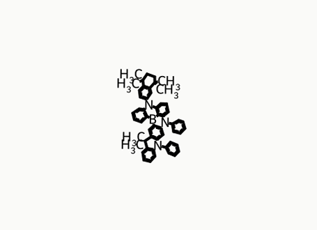 CC1(C)CCC(C)(C)c2cc(N3c4ccccc4B4c5cc6c(cc5N(c5ccccc5)c5cccc3c54)N(c3ccccc3)c3ccccc3C6(C)C)ccc21